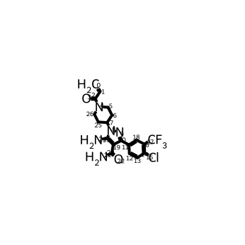 C=CC(=O)N1CCC(n2nc(-c3ccc(Cl)c(C(F)(F)F)c3)c(C(N)=O)c2N)CC1